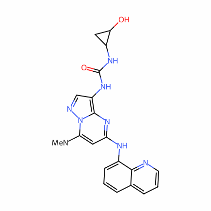 CNc1cc(Nc2cccc3cccnc23)nc2c(NC(=O)NC3CC3O)cnn12